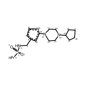 CCCS(=O)(=O)NCc1ccnc(N2CCN(C3CCCC3)CC2)c1